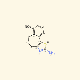 N#Cc1cccc2c1CCCc1nc(N)sc1-2